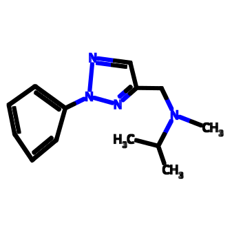 CC(C)N(C)Cc1cnn(-c2ccccc2)n1